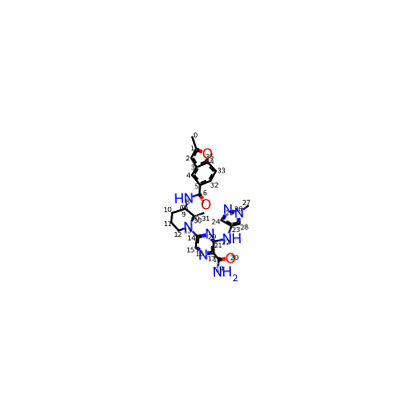 Cc1cc2cc(C(=O)N[C@@H]3CCCN(c4cnc(C(N)=O)c(Nc5cnn(C)c5)n4)[C@@H]3C)ccc2o1